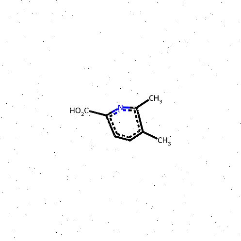 Cc1ccc(C(=O)O)nc1C